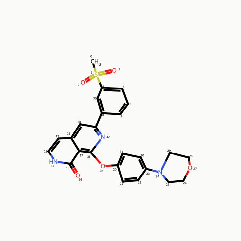 CS(=O)(=O)c1cccc(-c2cc3cc[nH]c(=O)c3c(Oc3ccc(N4CCOCC4)cc3)n2)c1